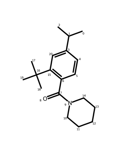 CC(C)c1ccc(C(=O)N2CCCCC2)c(C(C)(C)C)c1